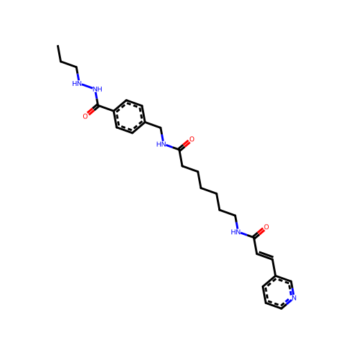 CCCNNC(=O)c1ccc(CNC(=O)CCCCCCNC(=O)C=Cc2cccnc2)cc1